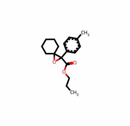 CCCOC(=O)C1(c2ccc(C)cc2)OC12CCCCC2